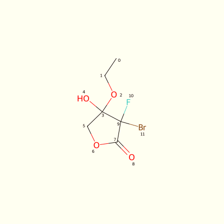 CCOC1(O)COC(=O)C1(F)Br